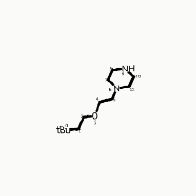 CC(C)(C)CCOCCN1CCNCC1